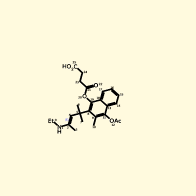 CCN/C(C)=C/C(C)(C)c1c(C)c(OC(C)=O)c2ccccc2c1OC(=O)CCC(=O)O